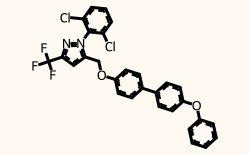 FC(F)(F)c1cc(COc2ccc(-c3ccc(Oc4ccccc4)cc3)cc2)n(-c2c(Cl)cccc2Cl)n1